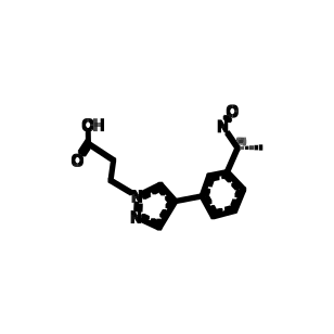 C[C@@H](N=O)c1cccc(-c2cnn(CCC(=O)O)c2)c1